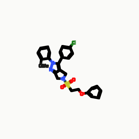 COc1ccccc1-n1nc2c(c1-c1ccc(Cl)cc1)CN(S(=O)(=O)CCOc1ccccc1)C2